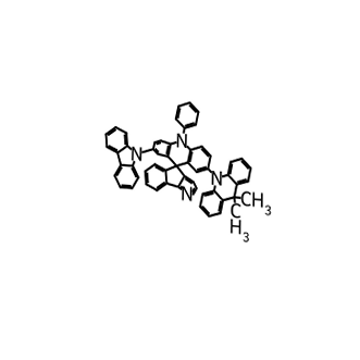 CC1(C)c2ccccc2N(c2ccc3c(c2)C2(c4ccccc4-c4ncccc42)c2cc(-n4c5ccccc5c5ccccc54)ccc2N3c2ccccc2)c2ccccc21